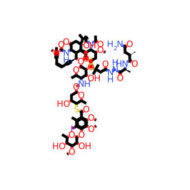 CC#C/C=C\C#C[C@H](OC1OC(C)C(NOC2CC(O)C(SC(=O)c3c(C)c(I)c(OC4OC(C)C(O)C(OC)C4O)c(OC)c3OC)C(C)O2)C(O)C1OC1CC(OC)C(N(CC)C(C)=O)CO1)C1/C(=C\CSSC(C)(C)CC(=O)NNC(=O)[C@H](C)NC(=O)[C@@H](C)CC(N)=O)[C@](O)(C(C)C)CC(=O)C1NC(=O)OC